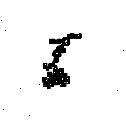 CCCCCc1ccc(-c2cc3ccc(OCC(COC(=O)C(C)(C)C(C)(N)CC(C)(C)N)C(F)(F)F)cc3o2)c(OC)c1